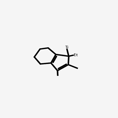 CC[C]1([Ti])C(C)=C(C)C2=C1CCCC2